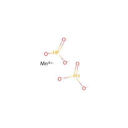 O=[PH]([O-])[O-].O=[PH]([O-])[O-].[Mn+4]